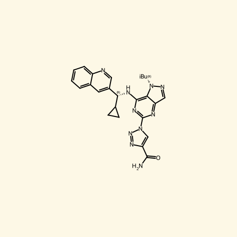 CC[C@@H](C)n1ncc2nc(-n3cc(C(N)=O)nn3)nc(N[C@@H](c3cnc4ccccc4c3)C3CC3)c21